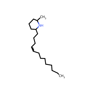 CCCCCCCC/C=C\CCCC1CCCC(C)N1